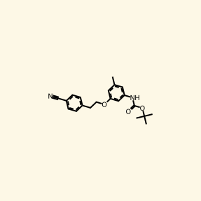 Cc1cc(NC(=O)OC(C)(C)C)cc(OCCc2ccc(C#N)cc2)c1